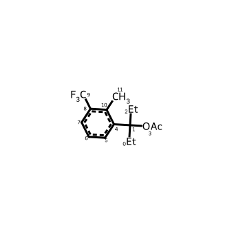 CCC(CC)(OC(C)=O)c1cccc(C(F)(F)F)c1C